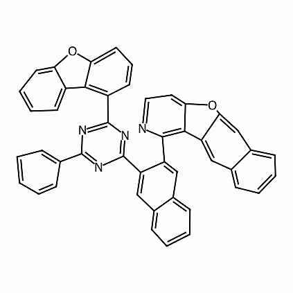 c1ccc(-c2nc(-c3cc4ccccc4cc3-c3nccc4oc5cc6ccccc6cc5c34)nc(-c3cccc4oc5ccccc5c34)n2)cc1